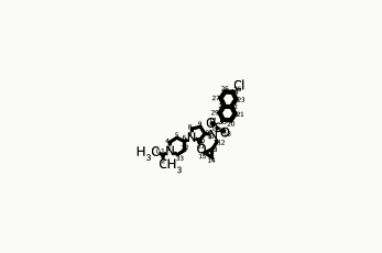 CC(C)N1CCC(N2CCC(N(CC3CC3)S(=O)(=O)c3ccc4cc(Cl)ccc4c3)C2=O)CC1